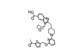 CC(=O)c1ccc(COc2cccc(N3CCC(Cc4nc5ccc(C(=O)O)cc5n4C[C@@H]4CCO4)CC3)n2)s1